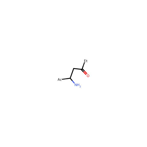 CCC(=O)CC(N)C(C)=O